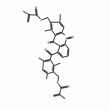 C=C(C)C(=O)OCc1c(C)cc(C)c(C(=O)c2cccc(P=O)c2C(=O)c2c(C)cc(C)c(COC(=O)C(=C)C)c2C)c1C